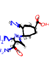 N#CC1CC(C(=O)O)CCC1n1cc(C(N)=O)c(N)n1